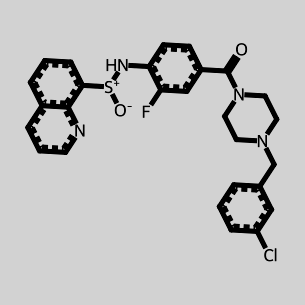 O=C(c1ccc(N[S+]([O-])c2cccc3cccnc23)c(F)c1)N1CCN(Cc2cccc(Cl)c2)CC1